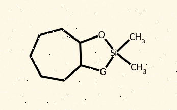 C[Si]1(C)OC2CCCCCC2O1